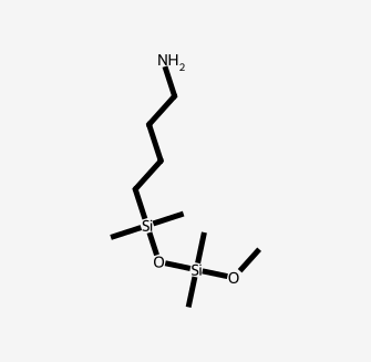 CO[Si](C)(C)O[Si](C)(C)CCCCN